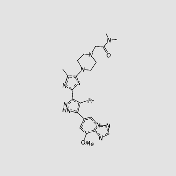 COc1cc(-c2[nH]nc(-c3nc(C)c(N4CCN(CC(=O)N(C)C)CC4)s3)c2C(C)C)cn2ncnc12